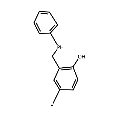 Oc1ccc(F)cc1CPc1ccccc1